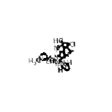 CN1CCC[C@](C)(COc2nc(N3C[C@H]4CC[C@@H](C3)N4)c3cc(F)c(-c4c(C#N)c(O)cc(Cl)c4C4CC4)c(F)c3n2)C1